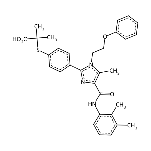 Cc1cccc(NC(=O)c2nc(-c3ccc(SC(C)(C)C(=O)O)cc3)n(CCOc3ccccc3)c2C)c1C